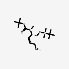 CN(C(=O)OC(C)(C)C)[C@@H](/C=C\CN)CO[Si](C)(C)C(C)(C)C